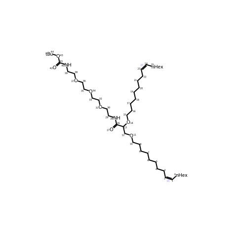 CCCCCC/C=C\CCCCCCCCOCC(OCCCCCCCC/C=C\CCCCCC)C(=O)NCCOCCOCCOCCNC(=O)OC(C)(C)C